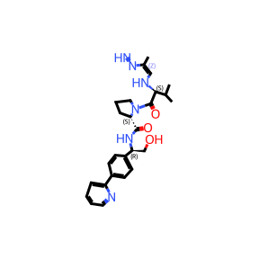 C/C(=C/N[C@H](C(=O)N1CCC[C@H]1C(=O)N[C@@H](CO)c1ccc(-c2ccccn2)cc1)C(C)C)N=N